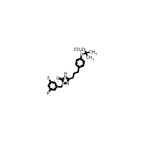 CCOC(=O)C(C)(C)Oc1ccc(CCCc2nn(Cc3cc(F)cc(F)c3)c(=O)[nH]2)cc1